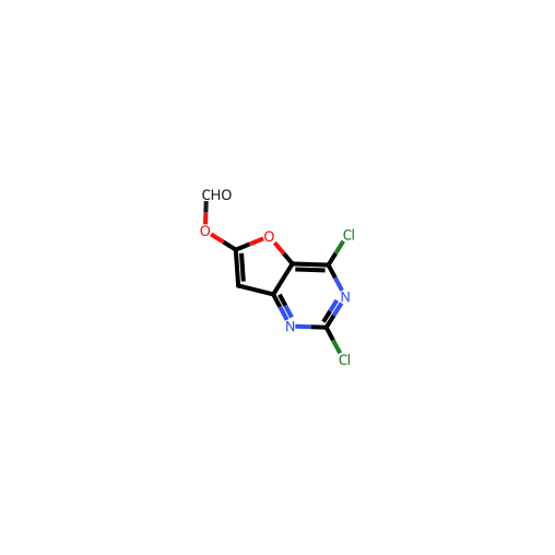 O=COc1cc2nc(Cl)nc(Cl)c2o1